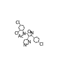 CC(=O)N(c1ccc(Cl)cc1Cl)c1onc(-c2ccc(Cl)cc2)c1-c1ccncn1